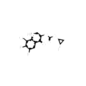 O=C(Oc1c[nH]c2c(Cl)c(F)c(F)cc2c1=O)O[C@@H]1C[C@@H]1F